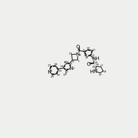 Cc1nc(C2CN(C(=O)c3ccc(NC(=O)[C@@H]4CCCN4)s3)C2)sc1-c1ccncc1